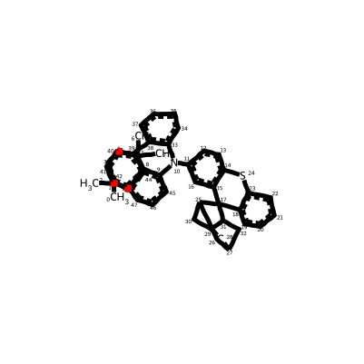 CC1(C)CCC(C)(C)c2c(N(c3ccc4c(c3)C3(c5ccccc5S4)C4CC5CC(C4)C3C5)c3ccccc3-c3ccccc3)cccc21